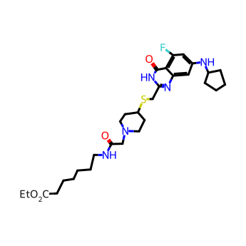 CCOC(=O)CCCCCCNC(=O)CN1CCC(SCc2nc3cc(NC4CCCC4)cc(F)c3c(=O)[nH]2)CC1